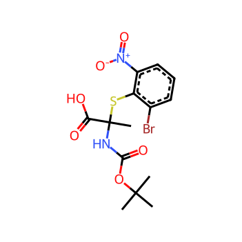 CC(C)(C)OC(=O)NC(C)(Sc1c(Br)cccc1[N+](=O)[O-])C(=O)O